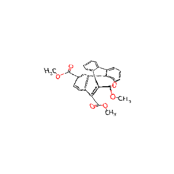 COC(=O)C1=C(C(=O)OC)C2(c3cc(C(=O)OC)ccc31)c1ccccc1-c1ccccc12